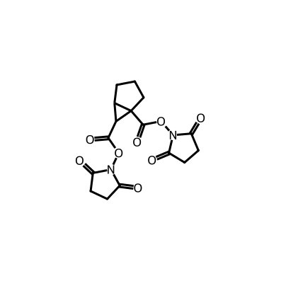 O=C(ON1C(=O)CCC1=O)C1C2CCCC21C(=O)ON1C(=O)CCC1=O